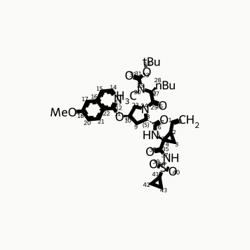 C=CC1C[C@]1(NC(=O)[C@@H]1C[C@@H](Oc2nccc3cc(OC)ccc23)CN1C(=O)[C@H](CCCC)N(C)C(=O)OC(C)(C)C)C(=O)NS(=O)(=O)C1CC1